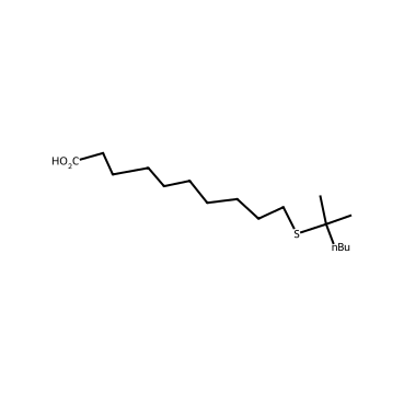 CCCCC(C)(C)SCCCCCCCCCC(=O)O